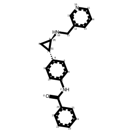 O=C(Nc1ccc([C@@H]2C[C@H]2NCc2cccnc2)cc1)c1ccccc1